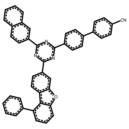 N#Cc1ccc(-c2ccc(-c3nc(-c4ccc5ccccc5c4)nc(-c4ccc5c(c4)oc4cccc(-c6ccccc6)c45)n3)cc2)cc1